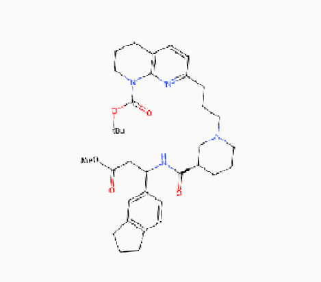 COC(=O)CC(NC(=O)[C@@H]1CCCN(CCCc2ccc3c(n2)N(C(=O)OC(C)(C)C)CCC3)C1)c1ccc2c(c1)CCC2